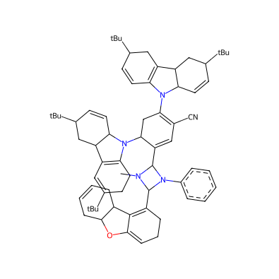 CN1C(C2=CC(C#N)=C(N3C4=C(CC(C(C)(C)C)C=C4)C4CC(C(C)(C)C)C=CC43)CC2N2C3=C(C=C(C(C)(C)C)CC3)C3CC(C(C)(C)C)C=CC32)N(c2ccccc2)C1C1=C2C(=CCC1)OC1CC=CCC21